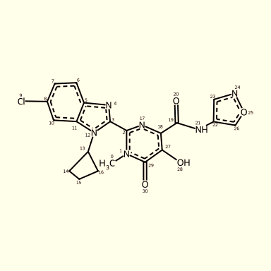 Cn1c(-c2nc3ccc(Cl)cc3n2C2CCC2)nc(C(=O)Nc2cnoc2)c(O)c1=O